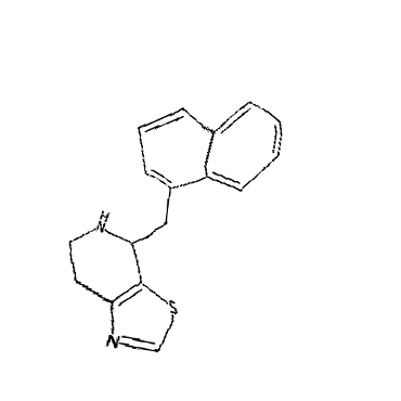 c1ccc2c(CC3NCCc4ncsc43)cccc2c1